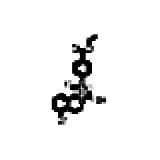 CCOC(=O)c1ccc(NC(=O)[C@@H]2c3cccc(Br)c3CCN2C(=O)O)cc1